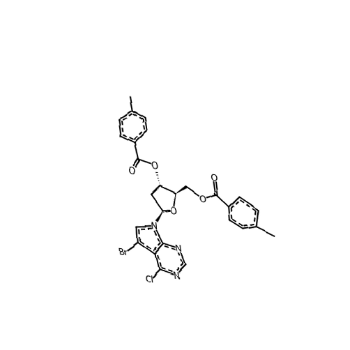 Cc1ccc(C(=O)OC[C@H]2O[C@@H](n3cc(Br)c4c(Cl)ncnc43)C[C@@H]2OC(=O)c2ccc(C)cc2)cc1